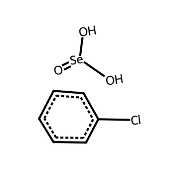 Clc1ccccc1.O=[Se](O)O